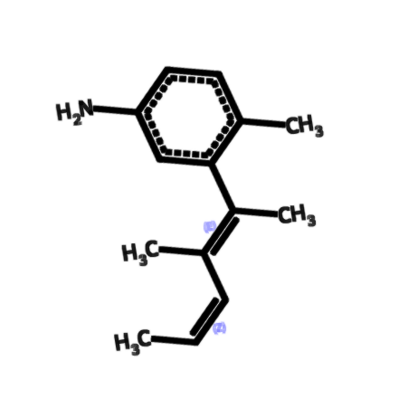 C/C=C\C(C)=C(/C)c1cc(N)ccc1C